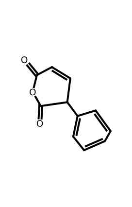 O=C1C=CC(c2ccccc2)C(=O)O1